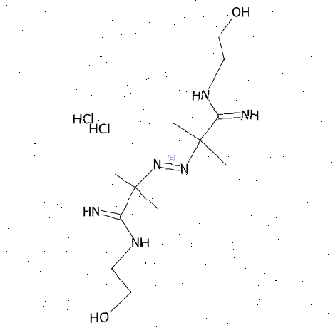 CC(C)(/N=N/C(C)(C)C(=N)NCCO)C(=N)NCCO.Cl.Cl